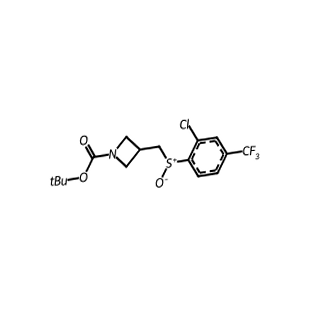 CC(C)(C)OC(=O)N1CC(C[S+]([O-])c2ccc(C(F)(F)F)cc2Cl)C1